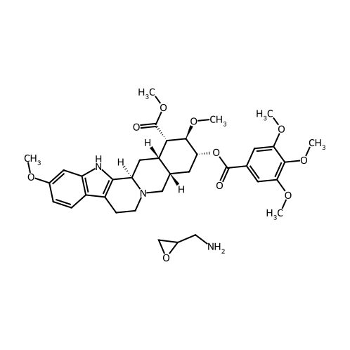 COC(=O)[C@H]1[C@H]2C[C@@H]3c4[nH]c5cc(OC)ccc5c4CCN3C[C@H]2C[C@@H](OC(=O)c2cc(OC)c(OC)c(OC)c2)[C@@H]1OC.NCC1CO1